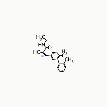 CCNC(=O)/C(O)=C\c1ccc(C)c(-c2ccccc2C)c1